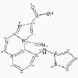 N#C[N+]12C=C(C(=O)O)N=C1C=Cc1cccc(Nc3cccs3)c12